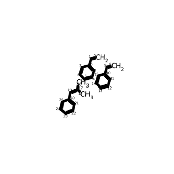 C=Cc1ccccc1.C=Cc1ccccc1.CC(C)=Cc1ccccc1